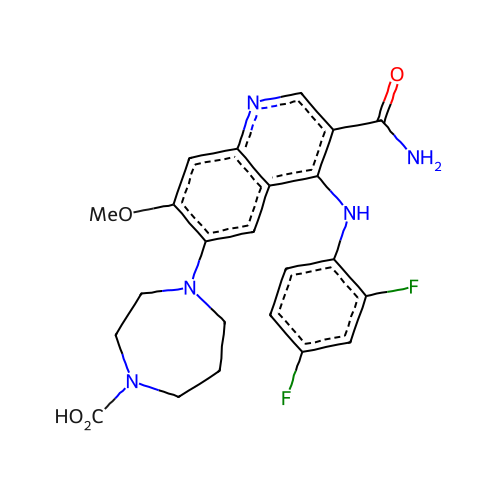 COc1cc2ncc(C(N)=O)c(Nc3ccc(F)cc3F)c2cc1N1CCCN(C(=O)O)CC1